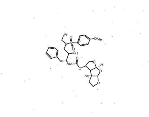 COc1ccc(S(=O)(=O)N(CC(C)C)C[C@@H](O)[C@H](Cc2ccccc2)NC(=O)OC2CO[C@H]3OC4OCC[C@@H]4C23)cc1